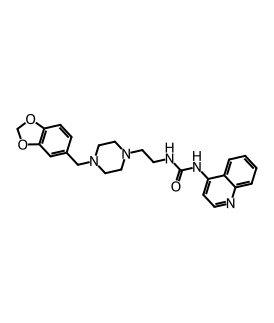 O=C(NCCN1CCN(Cc2ccc3c(c2)OCO3)CC1)Nc1ccnc2ccccc12